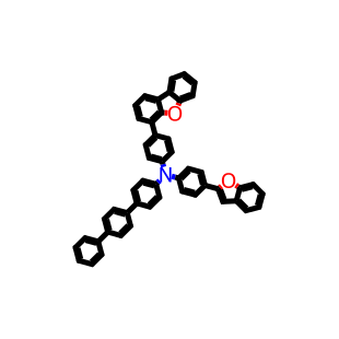 c1ccc(-c2ccc(-c3ccc(N(c4ccc(-c5cc6ccccc6o5)cc4)c4ccc(-c5cccc6c5oc5ccccc56)cc4)cc3)cc2)cc1